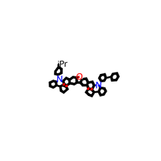 CC(C)c1ccc(N(c2ccc3cc4c(cc3c2)oc2cc3cc(N(c5cccc(-c6ccccc6)c5)c5ccccc5-c5ccccc5)ccc3cc24)c2ccccc2-c2ccccc2)cc1